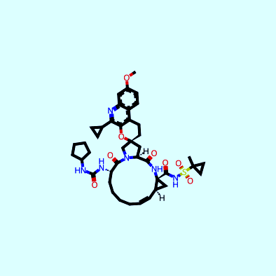 COc1ccc2c3c(c(C4CC4)nc2c1)O[C@]1(CC3)C[C@H]2C(=O)N[C@]3(C(=O)NS(=O)(=O)C4(C)CC4)C[C@H]3/C=C\CCCC[C@H](NC(=O)NC3CCCC3)C(=O)N2C1